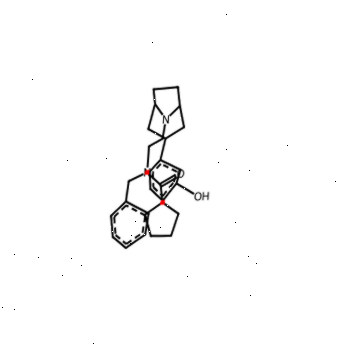 O=C(C1CCCC1)N(CCN1C2CCC1CC(c1cccc(O)c1)C2)Cc1ccccc1